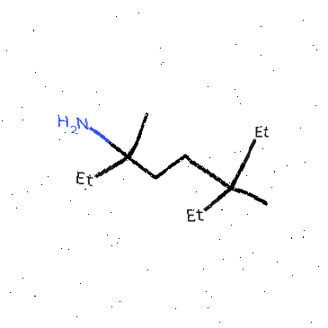 CCC(C)(N)CCC(C)(CC)CC